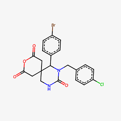 O=C1CC2(CNC(=O)N(Cc3ccc(Cl)cc3)C2c2ccc(Br)cc2)CC(=O)O1